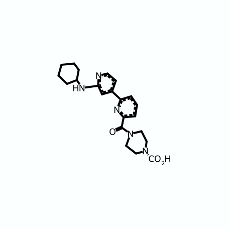 O=C(O)N1CCN(C(=O)c2cccc(-c3ccnc(NC4CCCCC4)c3)n2)CC1